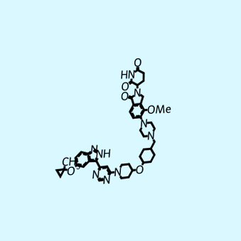 COc1c(N2CCN(CC3CCC(OC4CCN(c5cc(-c6[nH]nc7ccc(OC8(C)CC8)cc67)ncn5)CC4)CC3)CC2)ccc2c1CN(C1CCC(=O)NC1=O)C2=O